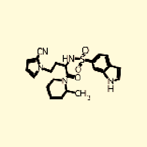 CC1CCCCN1C(=O)C(CCn1cccc1C#N)NS(=O)(=O)c1ccc2cc[nH]c2c1